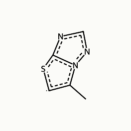 Cc1[c]sc2ncnn12